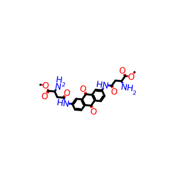 COC(=O)C(N)CC(=O)Nc1ccc2c(c1)C(=O)c1cc(NC(=O)CC(N)C(=O)OC)ccc1C2=O